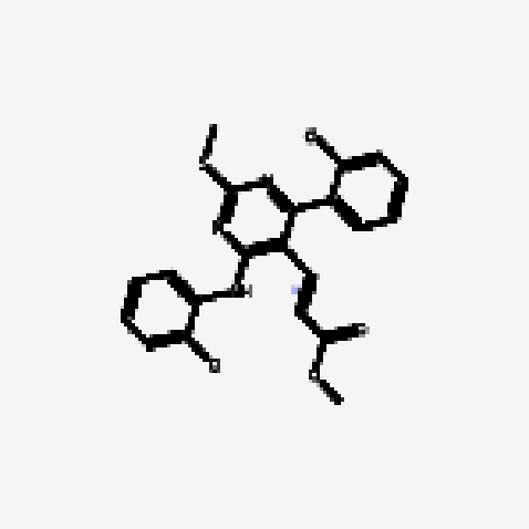 COC(=O)/C=C/c1c(Nc2ccccc2Cl)nc(SC)nc1-c1ccccc1Cl